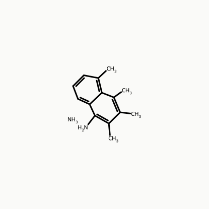 Cc1c(C)c(C)c2c(C)cccc2c1N.N